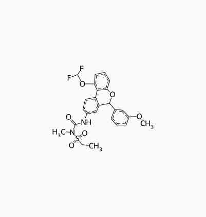 CCS(=O)(=O)N(C)C(=O)Nc1ccc2c(c1)C(c1cccc(OC)c1)Oc1cccc(OC(F)F)c1-2